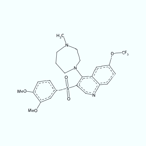 COc1ccc(S(=O)(=O)c2cnc3ccc(OC(F)(F)F)cc3c2N2CCCN(C)CC2)cc1OC